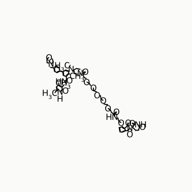 CCN(c1cc(-c2ccc(CN3CCOCC3)cc2)cc(C(=O)NCc2c(C)cc(C)[nH]c2=O)c1C)C1CCN(C(=O)CCOCCOCCOCCOCCOCCC(=O)NCCOc2cccc3c2C(=O)N(C2CCC(=O)NC2=O)C3=O)CC1